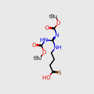 CC(C)(C)OC(=O)N=C(NCCCC(O)=S)NC(=O)OC(C)(C)C